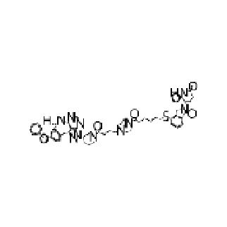 Nc1ncnc2c1c(-c1ccc(Oc3ccccc3)cc1)nn2C1CCCN(C(=O)CCCN2CCN(C(=O)CCCCCSc3cccc4c3CN(C3CCC(=O)NC3=O)C4=O)CC2)C1